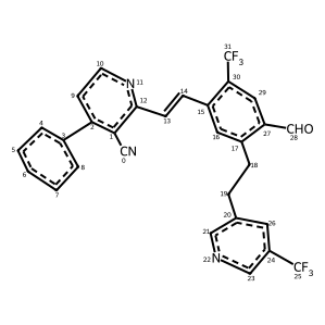 N#Cc1c(-c2ccccc2)ccnc1/C=C/c1cc(CCc2cncc(C(F)(F)F)c2)c(C=O)cc1C(F)(F)F